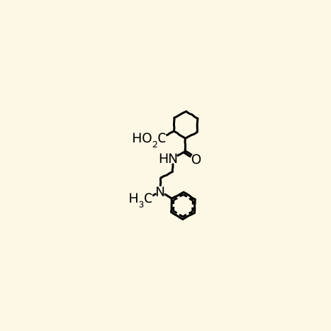 CN(CCNC(=O)C1CCCCC1C(=O)O)c1ccccc1